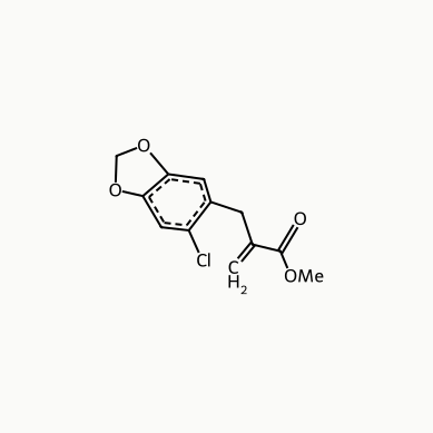 C=C(Cc1cc2c(cc1Cl)OCO2)C(=O)OC